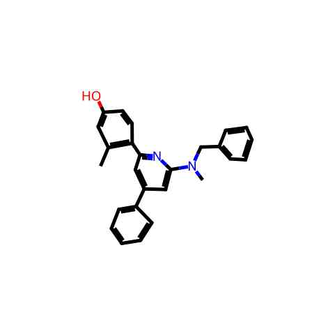 Cc1cc(O)ccc1-c1cc(-c2ccccc2)cc(N(C)Cc2ccccc2)n1